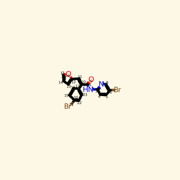 O=C(Nc1ccc(Br)cn1)C(=Cc1ccco1)c1ccc(Br)cc1